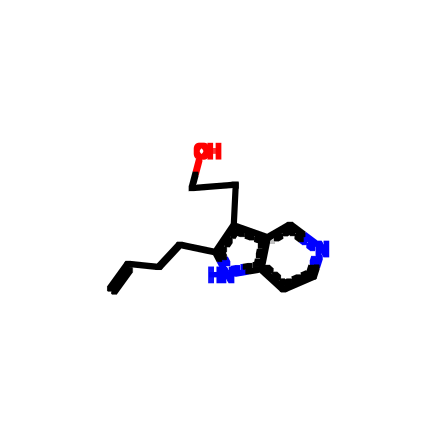 C=CCCc1[nH]c2ccncc2c1CCO